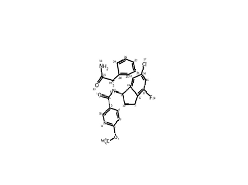 COc1ccc(C(=O)N([C@@H]2CCc3c(F)cc(Cl)cc32)[C@H](C(N)=O)c2ccccc2)cn1